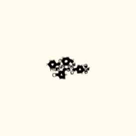 CS(=O)(=O)c1ccc(C(=O)N2N=Cc3ccccc3B2OC2=NN(C(=O)c3ccccc3)B(O)c3c(Cl)cccc32)cc1